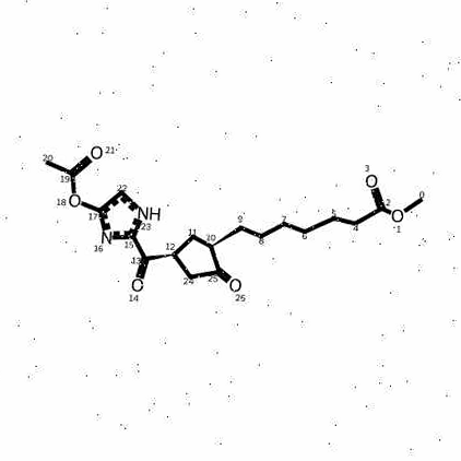 COC(=O)CCCCCC[C@@H]1C[C@H](C(=O)c2nc(OC(C)=O)c[nH]2)CC1=O